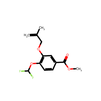 C=C(C)COc1cc(C(=O)OC)ccc1OC(F)F